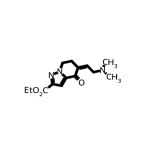 CCOC(=O)c1cc2n(n1)CC/C(=C/CN(C)C)C2=O